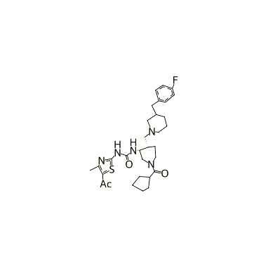 CC(=O)c1sc(NC(=O)N[C@H]2CN(C(=O)C3CCCC3)CC[C@H]2CN2CCCC(Cc3ccc(F)cc3)C2)nc1C